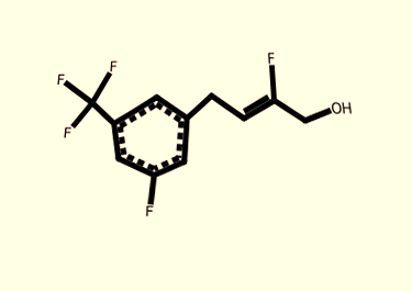 OCC(F)=CCc1cc(F)cc(C(F)(F)F)c1